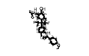 COc1ccc(C(=O)Nc2cc(C(c3ccc(O)c(NC(C)=O)c3)(C(F)(F)F)C(F)(F)F)ccc2O)cc1